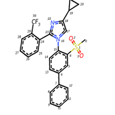 CS(=O)(=O)c1cc(-c2ccccc2)ccc1-n1cc(C2CC2)nc1-c1ccccc1C(F)(F)F